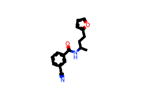 CC(CCc1ccco1)NC(=O)c1cccc(C#N)c1